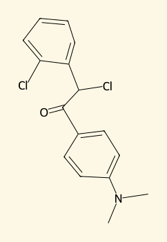 CN(C)c1ccc(C(=O)C(Cl)c2ccccc2Cl)cc1